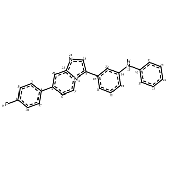 Fc1ccc(-c2ccn3c(-c4cccc(Nc5ccccc5)c4)cnc3c2)cc1